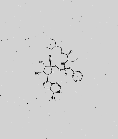 CCC(CC)COC(=O)[C@H](CC)NP(=O)(OC[C@@]1(C#N)O[C@@H](c2ccc3c(N)ncnn23)[C@H](O)[C@@H]1O)Oc1ccccc1